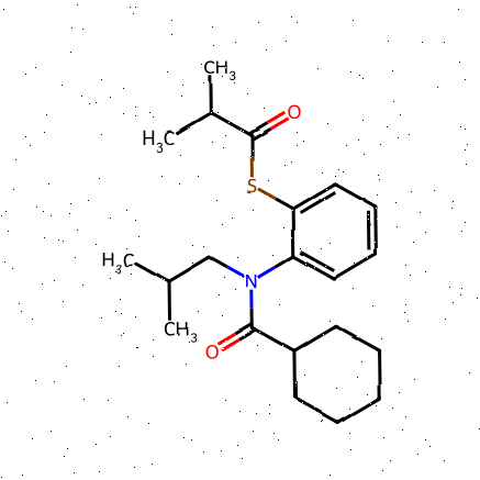 CC(C)CN(C(=O)C1CCCCC1)c1ccccc1SC(=O)C(C)C